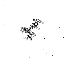 C=C(C)[C@H]1CC[C@@]2(N)OP(=S)(OC[C@H]3O[C@@H](N4C=C(C)C(=O)NC4=C)CC3O[Si](C)(C)C(C)(C)C)SC2C1